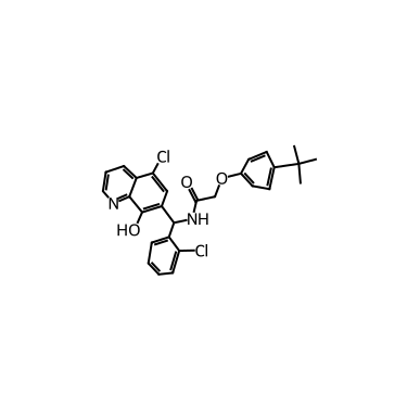 CC(C)(C)c1ccc(OCC(=O)NC(c2ccccc2Cl)c2cc(Cl)c3cccnc3c2O)cc1